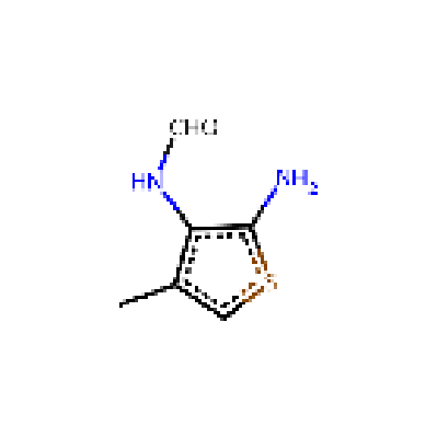 Cc1csc(N)c1NC=O